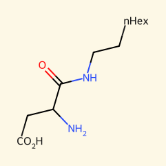 CCCCCCCCNC(=O)C(N)CC(=O)O